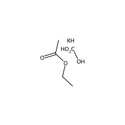 CCOC(C)=O.O=C(O)O.[KH]